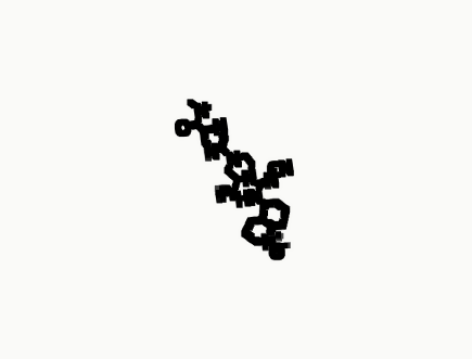 CC(C)C1CN(c2cnc(C(=O)N(C)C)cn2)CCN1/C(=N\C#N)Nc1cccc2c1ccc[n+]2[O-]